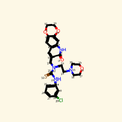 O=c1[nH]c2cc3c(cc2cc1CN(CCN1CCOCC1)C(=S)Nc1cccc(Cl)c1)OCCO3